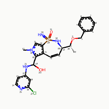 C[C@@H](OCc1ccccc1)[C@H]1C=Cc2c(cn(C)c2C(O)Nc2ccnc(Cl)c2)S(=N)(=O)N1